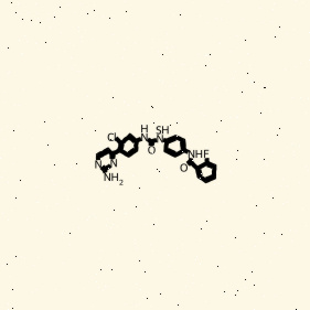 Nc1nccc(-c2ccc(NC(=O)N(S)c3ccc(NC(=O)c4ccccc4F)cc3)cc2Cl)n1